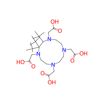 CC(C)(C)C1N(CC(=O)O)CCN(CC(=O)O)CCN(CC(=O)O)CCN(CC(=O)O)C1(C(C)(C)C)C(C)(C)C